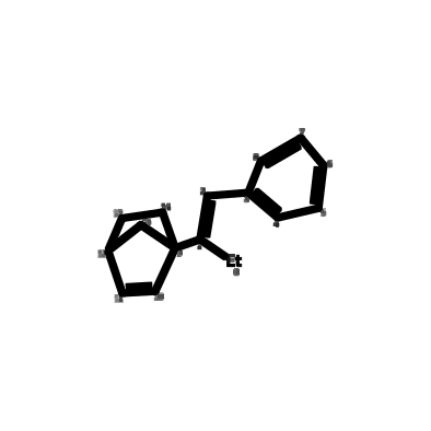 CCC(=Cc1ccccc1)C12C=CC(CC1)C2